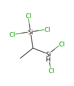 CC([SiH](Cl)Cl)[Si](Cl)(Cl)Cl